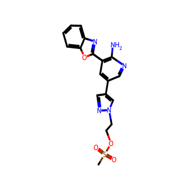 CS(=O)(=O)OCCn1cc(-c2cnc(N)c(-c3nc4ccccc4o3)c2)cn1